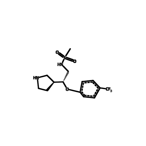 CS(=O)(=O)NC[C@H](Oc1ccc(C(F)(F)F)cc1)[C@H]1CCNC1